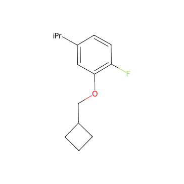 CC(C)c1ccc(F)c(OCC2CCC2)c1